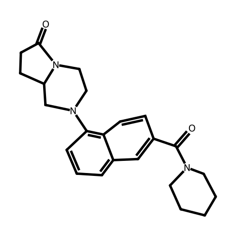 O=C(c1ccc2c(N3CCN4C(=O)CCC4C3)cccc2c1)N1CCCCC1